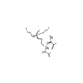 C=C(C)C(=O)O.C=C(C)C(=O)O.CCC[CH2][Sn]([CH3])([CH2]CCC)[CH2]CCC